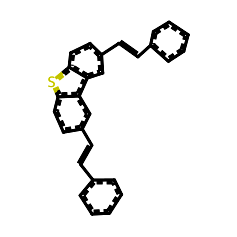 C(=Cc1ccc2sc3ccc(C=Cc4ccccc4)cc3c2c1)c1ccccc1